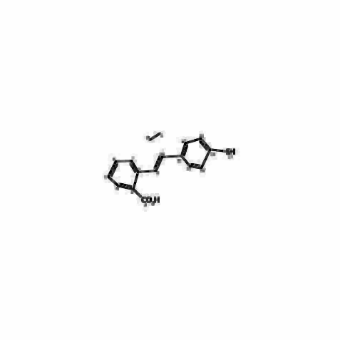 CC.O=C(O)c1ccccc1C=Cc1ccc(S)cc1